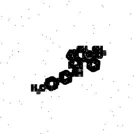 CN1CCN(c2ccc(Nc3nc(Nc4ccccc4S(C)(=O)=O)c4c(ccn4C)n3)cc2)CC1